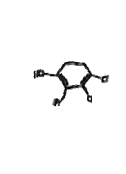 CC(C)c1c(O)ccc(Cl)c1Cl